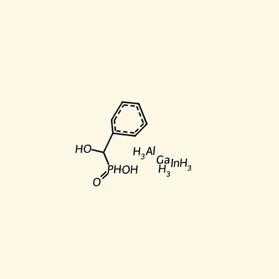 O=[PH](O)C(O)c1ccccc1.[AlH3].[GaH3].[InH3]